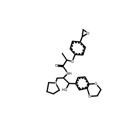 CC(Oc1ccc(C2CO2)cc1)C(=O)NC(CN1CCCC1)C(O)c1ccc2c(c1)OCCO2